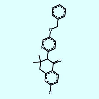 CC1(C)Cc2nc(Cl)ccc2C(=O)C1c1ccc(OCc2ccccc2)cn1